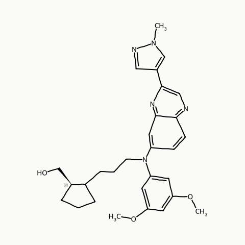 COc1cc(OC)cc(N(CCCC2CCC[C@H]2CO)c2ccc3ncc(-c4cnn(C)c4)nc3c2)c1